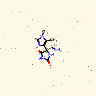 Cc1c([C@@]2(CN)NC(=O)NC2=O)ncn1C.Cl